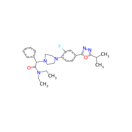 CCN(CC)C(=O)C(c1ccccc1)N1CCN(c2ccc(-c3nnc(C(C)C)o3)cc2F)CC1